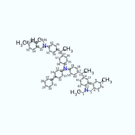 CCN(Cc1ccc(C)cc1)c1ccc(C(C)c2ccc(N(c3ccc(-c4ccccc4)cc3)c3ccc(C(C)c4ccc(N(CC)Cc5ccc(C)cc5)cc4)cc3)cc2)cc1